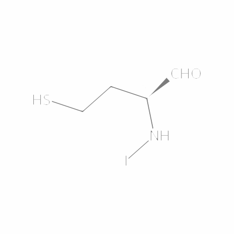 O=C[C@H](CCS)NI